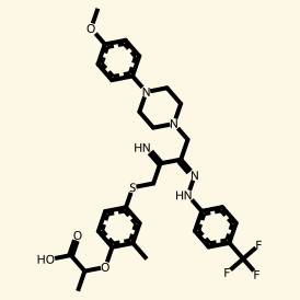 COc1ccc(N2CCN(C/C(=N/Nc3ccc(C(F)(F)F)cc3)C(=N)CSc3ccc(OC(C)C(=O)O)c(C)c3)CC2)cc1